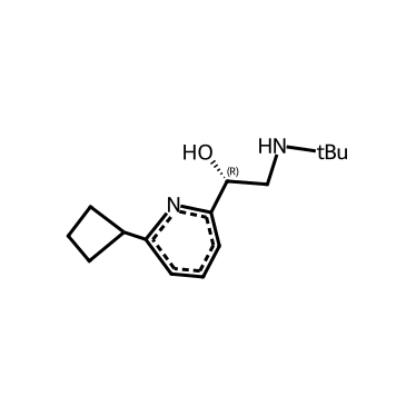 CC(C)(C)NC[C@@H](O)c1cccc(C2CCC2)n1